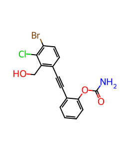 NC(=O)Oc1ccccc1C#Cc1ccc(Br)c(Cl)c1CO